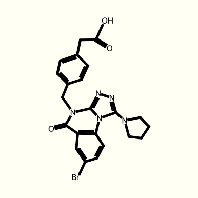 O=C(O)Cc1ccc(Cn2c(=O)c3cc(Br)ccc3n3c(N4CCCC4)nnc23)cc1